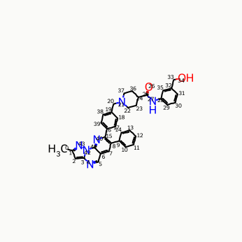 Cc1cc2ncc3cc(-c4ccccc4)c(-c4ccc(CN5CCC(C(=O)Nc6cccc(CO)c6)CC5)cc4)nc3n2n1